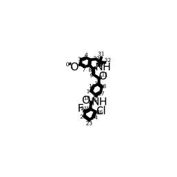 COc1ccc2c(c1)/C(=C/C(=O)c1ccc(NC(=O)c3c(F)cccc3Cl)cc1)NC(C)(C)C2